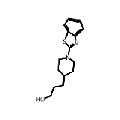 OCCCC1CCN(c2nc3ccccc3s2)CC1